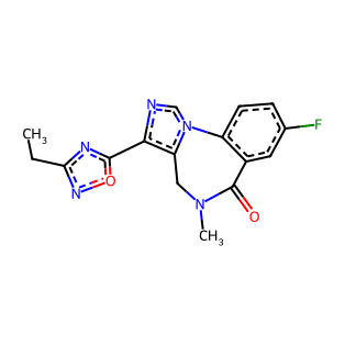 CCc1noc(-c2ncn3c2CN(C)C(=O)c2cc(F)ccc2-3)n1